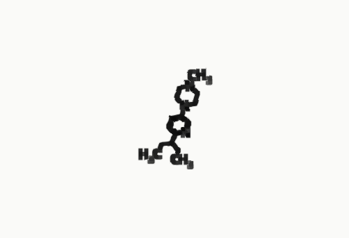 CCC(CC)c1ccc(N2CCN(C)CC2)cn1